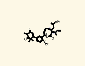 C=C/C(C)=C1C(=O)NC(c2cc(C3=CC(=S)C(C)C(=O)C3(C)C)ccc2OCC)=C=C\C=C/1CC(=C)CCC